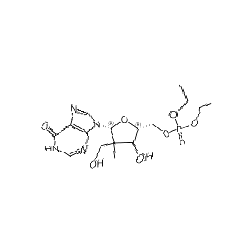 CCOP(=O)(OCC)OC[C@H]1O[C@@H](n2cnc3c(=O)[nH]cnc32)C(C)(CO)C1O